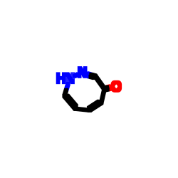 O=C1/C=C\C=C/N/N=C\1